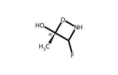 C[C@@]1(O)ONC1F